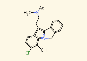 CC(=O)N(C)CCc1c2n(c3c(C)c(Cl)ccc13)Cc1ccccc1-2